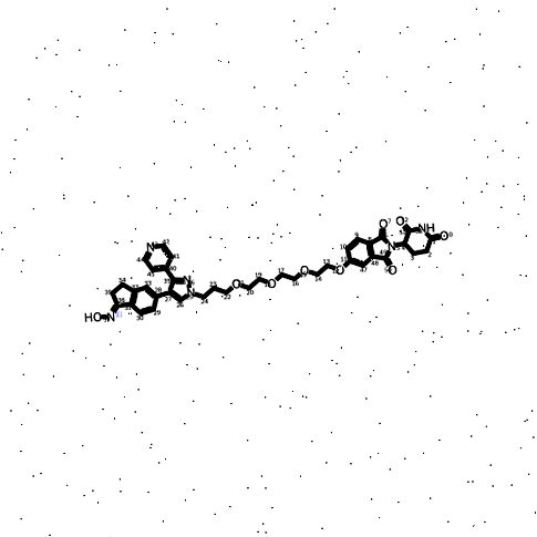 O=C1CCC(N2C(=O)c3ccc(OCCOCCOCCOCCCn4cc(-c5ccc6c(c5)CC/C6=N\O)c(-c5ccncc5)n4)cc3C2=O)C(=O)N1